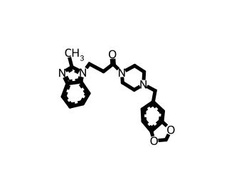 Cc1nc2ccccc2n1CCC(=O)N1CCN(Cc2ccc3c(c2)OCO3)CC1